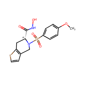 COc1ccc(S(=O)(=O)N2Cc3ccsc3C[C@@H]2C(=O)NO)cc1